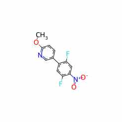 COc1ccc(-c2cc(F)c([N+](=O)[O-])cc2F)cn1